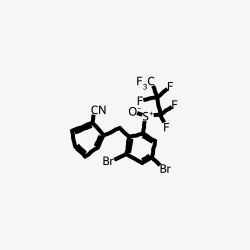 N#Cc1ccccc1Cc1c(Br)[c]c(Br)cc1[S+]([O-])C(F)(F)C(F)(F)C(F)(F)F